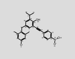 Cc1cc([O])cc(C)c1Cc1cc(C#Cc2ccc([N+](=O)[O-])cc2)c(O)c(C(C)C)c1